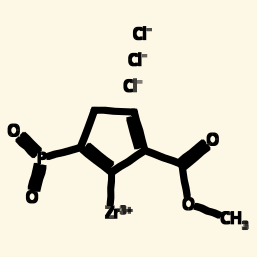 COC(=O)C1=CCC(P(=O)=O)=[C]1[Zr+3].[Cl-].[Cl-].[Cl-]